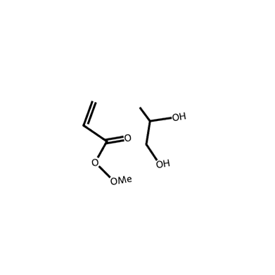 C=CC(=O)OOC.CC(O)CO